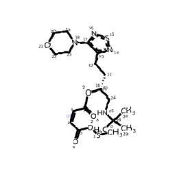 CSOC(=O)/C=C\C(=O)O[C@H](CCc1nsnc1N1CCOCC1)CNC(C)(C)C